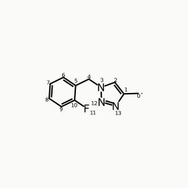 [CH2]c1cn(Cc2ccccc2F)nn1